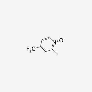 Cc1cc(C(F)(F)F)cc[n+]1[O-]